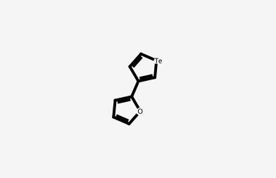 c1coc(-c2cc[te]c2)c1